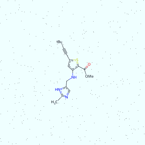 COC(=O)c1sc(C#CC(C)(C)C)cc1NCc1cnc(C)[nH]1